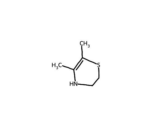 CC1=C(C)SCCN1